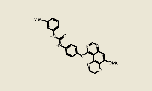 COc1cccc(NC(=O)Nc2ccc(Oc3ncnc4cc(OC)c5c(c34)OCCO5)cc2)c1